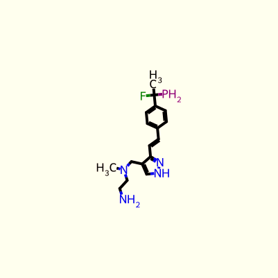 CN(CCN)Cc1c[nH]nc1/C=C/c1ccc(C(C)(F)P)cc1